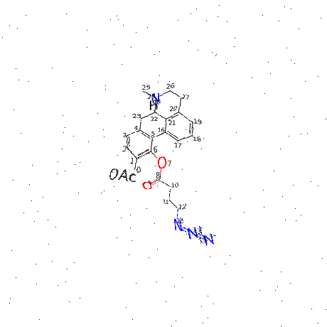 CC(=O)Oc1ccc2c(c1OC(=O)CCCN=[N+]=[N-])-c1cccc3c1[C@@H](C2)N(C)CC3